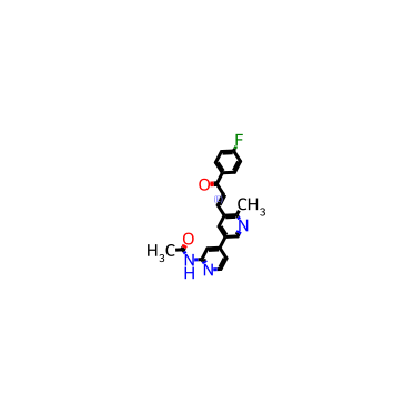 CC(=O)Nc1cc(-c2cnc(C)c(/C=C/C(=O)c3ccc(F)cc3)c2)ccn1